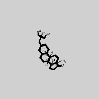 CC(CO)(CO)CC1CC[C@@]2(C)C(CC[C@@H]3[C@H]2CC[C@]2(C)C(=O)CC[C@@H]32)C1